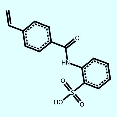 C=Cc1ccc(C(=O)Nc2ccccc2S(=O)(=O)O)cc1